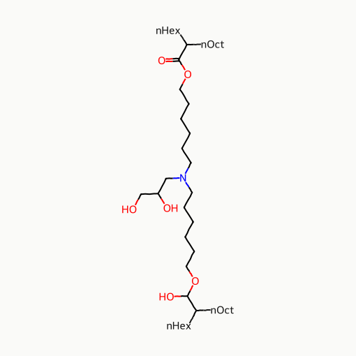 CCCCCCCCC(CCCCCC)C(=O)OCCCCCCN(CCCCCCOC(O)C(CCCCCC)CCCCCCCC)CC(O)CO